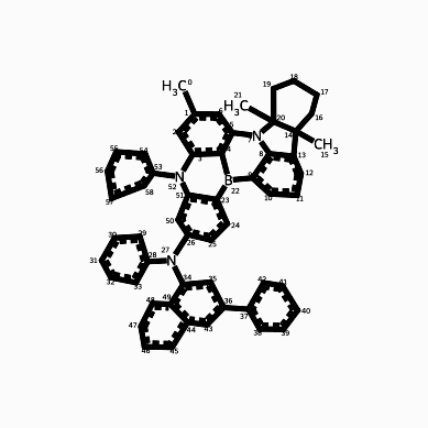 Cc1cc2c3c(c1)N1c4c(cccc4C4(C)CCCCC14C)B3c1ccc(N(c3ccccc3)c3cc(-c4ccccc4)cc4ccccc34)cc1N2c1ccccc1